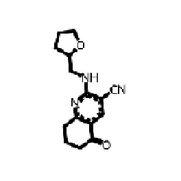 N#Cc1cc2c(nc1NCC1CCCO1)CCCC2=O